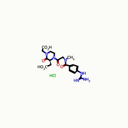 CN(CC(=O)N1CCN(CC(=O)O)C(=O)[C@@H]1CC(=O)O)C(=O)c1ccc(NC(=N)N)cc1.Cl